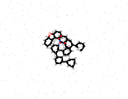 c1ccc(-c2ccc(N(c3cccc(-c4cccc(-c5ccccc5)c4)c3-c3ccccc3-c3ccccc3)c3cccc4oc5ccccc5c34)cc2)cc1